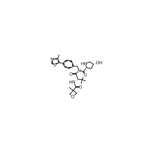 Cc1ncsc1-c1ccc(CN(C(=O)[C@@H]2C[C@@H](O)CN2)C(=O)[C@@H](NC(=O)C2(C)COC2)C(C)(C)C)cc1